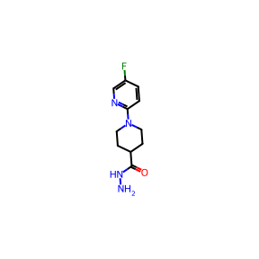 NNC(=O)C1CCN(c2ccc(F)cn2)CC1